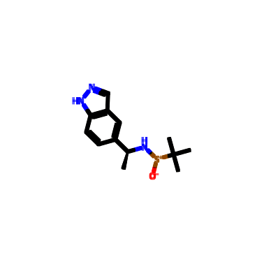 C[C@H](N[S+]([O-])C(C)(C)C)c1ccc2[nH]ncc2c1